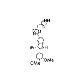 COc1ccc(-c2[nH]c3ccc(-c4nnc(Cc5c[nH]cn5)o4)cc3c2C(C)C)cc1OC